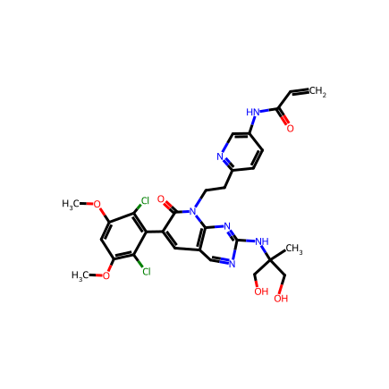 C=CC(=O)Nc1ccc(CCn2c(=O)c(-c3c(Cl)c(OC)cc(OC)c3Cl)cc3cnc(NC(C)(CO)CO)nc32)nc1